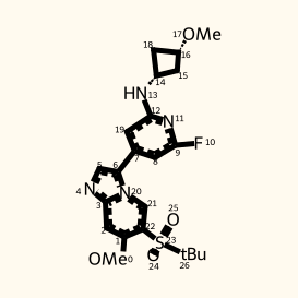 COc1cc2ncc(-c3cc(F)nc(N[C@H]4C[C@@H](OC)C4)c3)n2cc1S(=O)(=O)C(C)(C)C